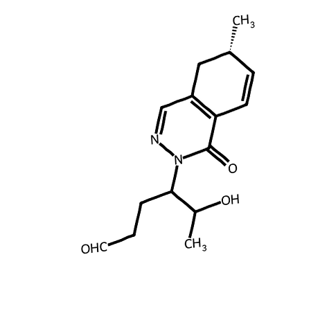 CC(O)C(CCC=O)n1ncc2c(c1=O)C=C[C@@H](C)C2